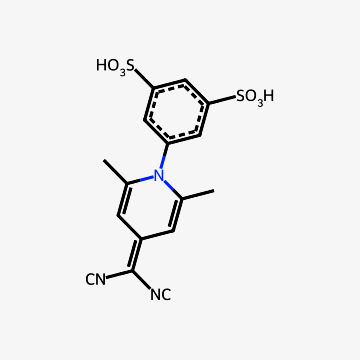 [C-]#[N+]C([N+]#[C-])=C1C=C(C)N(c2cc(S(=O)(=O)O)cc(S(=O)(=O)O)c2)C(C)=C1